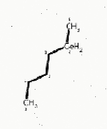 CCC[CH2][GeH2][CH3]